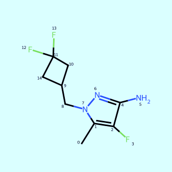 Cc1c(F)c(N)nn1CC1CC(F)(F)C1